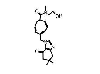 CN(CCO)C(=O)C1C=C/C=C(Cn2cnc3c2C(=O)CC(C)(C)C3)\C=C/C1